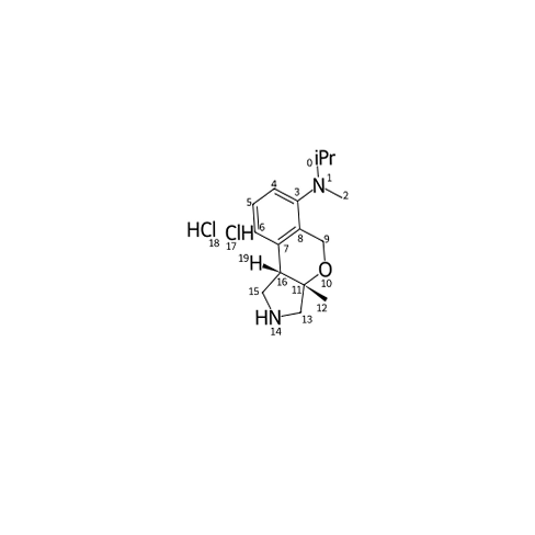 CC(C)N(C)c1cccc2c1CO[C@]1(C)CNC[C@H]21.Cl.Cl